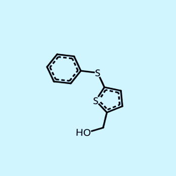 OCc1ccc(Sc2ccccc2)s1